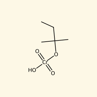 CCC(C)(C)[O][Cr](=[O])(=[O])[OH]